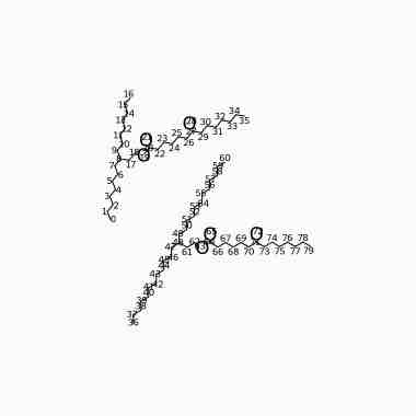 CCCCCCCCC(CCCCCCCC)CCOC(=O)CCCCCC(=O)CCCCCCC.CCCCCCCCCCCCC(CCCCCCCCCCCC)CCOC(=O)CCCCCC(=O)CCCCCCC